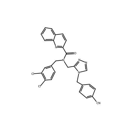 N#Cc1ccc(Cn2cnnc2CN(Cc2ccc(Cl)c(Cl)c2)C(=O)c2ccc3ccccc3n2)cc1